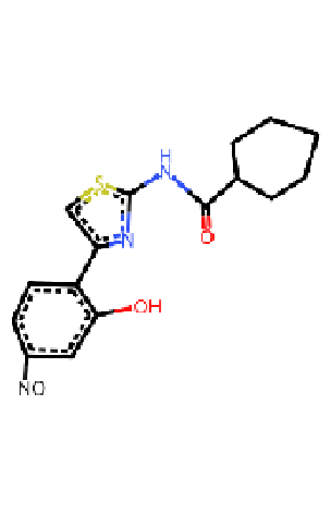 O=Nc1ccc(-c2csc(NC(=O)C3CCCCC3)n2)c(O)c1